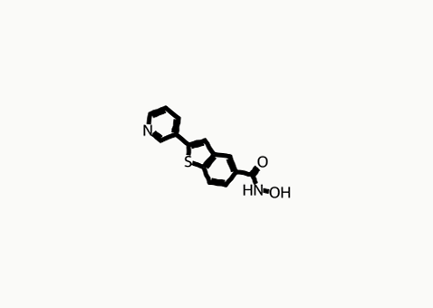 O=C(NO)c1ccc2sc(-c3cccnc3)cc2c1